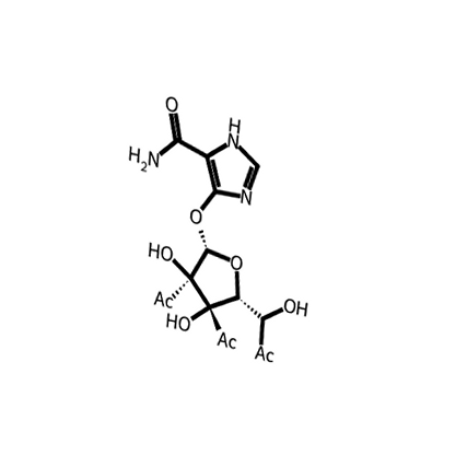 CC(=O)C(O)[C@H]1O[C@@H](Oc2nc[nH]c2C(N)=O)[C@@](O)(C(C)=O)[C@]1(O)C(C)=O